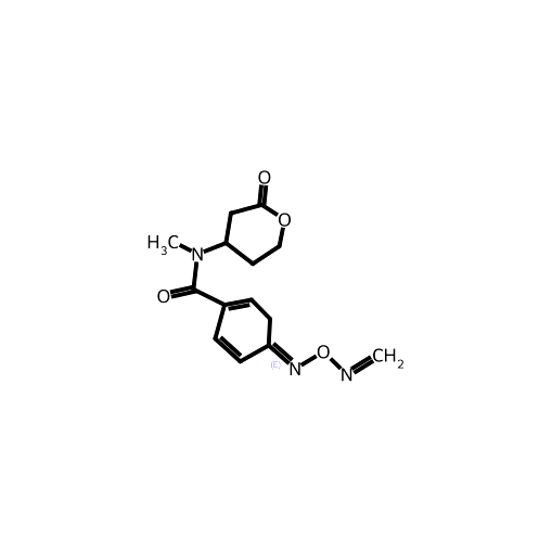 C=NO/N=C1/C=CC(C(=O)N(C)C2CCOC(=O)C2)=CC1